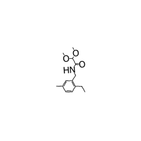 CCc1ccc(C)cc1CNC(=O)C(OC)OC